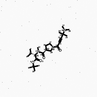 CC(C)[C@@H](C(=O)OC(C)(C)C)N(C)C(=O)[C@H]1CCN(C(=O)C#CC(C)(C)N(C)C)C1